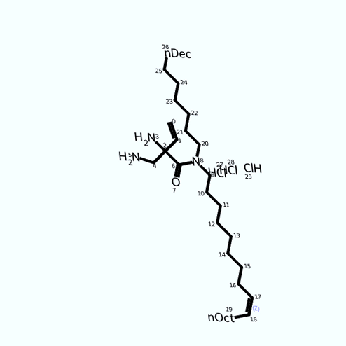 C=CC(N)(CN)C(=O)N(CCCCCCCC/C=C\CCCCCCCC)CCCCCCCCCCCCCCCC.Cl.Cl.Cl